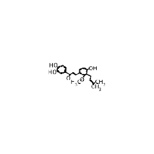 COc1c(C=CC(=O)c2ccc(O)c(O)c2)ccc(O)c1CC=C(C)C